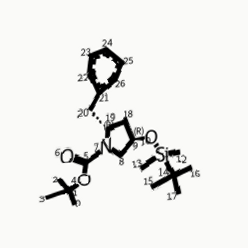 CC(C)(C)OC(=O)N1C[C@H](O[Si](C)(C)C(C)(C)C)C[C@H]1Cc1ccccc1